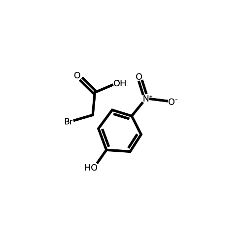 O=C(O)CBr.O=[N+]([O-])c1ccc(O)cc1